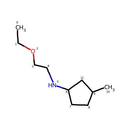 CCOCCNC1CCC(C)C1